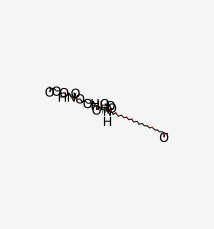 CC(=O)CCCCCCCCCCCCCCCCCCCCC(=O)N[C@@H](CCC(=O)NCCOCCOCC(=O)NCCOCCOCC(C)=O)C(=O)O